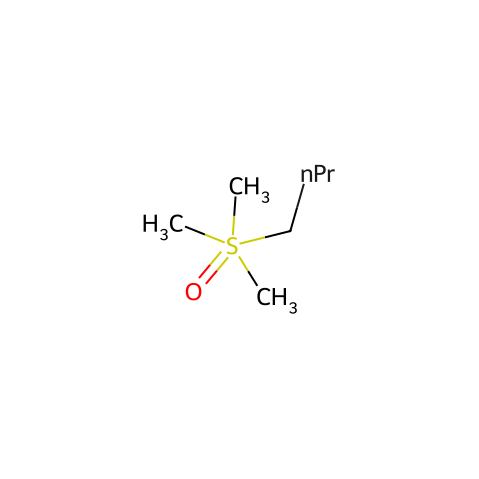 CCCCS(C)(C)(C)=O